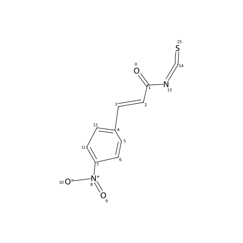 O=C(C=Cc1ccc([N+](=O)[O-])cc1)N=C=S